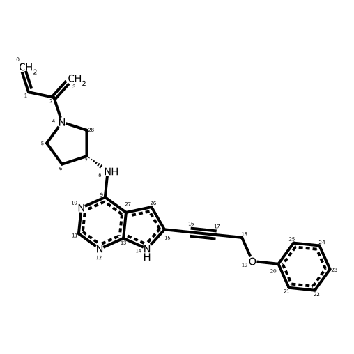 C=CC(=C)N1CC[C@@H](Nc2ncnc3[nH]c(C#CCOc4ccccc4)cc23)C1